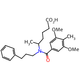 COc1cc(C(=O)N(CCCc2ccccc2)C(C)CCCC(=O)O)cc(OC)c1C